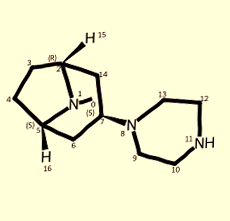 CN1[C@@H]2CC[C@H]1C[C@H](N1CCNCC1)C2